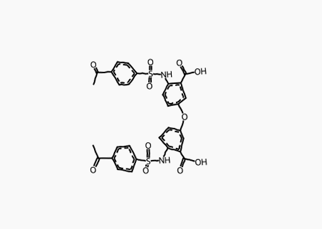 CC(=O)c1ccc(S(=O)(=O)Nc2ccc(Oc3ccc(NS(=O)(=O)c4ccc(C(C)=O)cc4)c(C(=O)O)c3)cc2C(=O)O)cc1